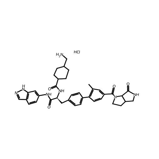 Cc1cc(C(=O)N2CCC3CNC(=O)C32)ccc1-c1ccc(C[C@H](NC(=O)C2CCC(CN)CC2)C(=O)Nc2ccc3cn[nH]c3c2)cc1.Cl